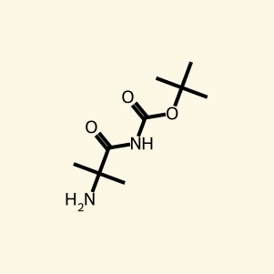 CC(C)(C)OC(=O)NC(=O)C(C)(C)N